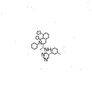 Cc1cccc(-c2cncnc2N[C@@H](C)c2cc3cccc(Cl)c3c(=O)n2-c2ccccc2)c1